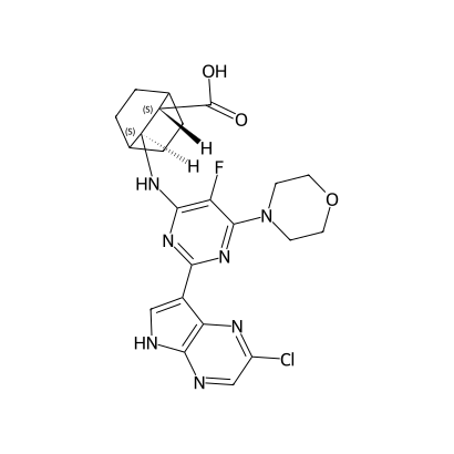 O=C(O)[C@H]1C2CCC(CC2)[C@@H]1Nc1nc(-c2c[nH]c3ncc(Cl)nc23)nc(N2CCOCC2)c1F